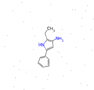 CCc1[nH]c(-c2ccccc2)cc1N